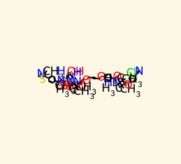 Cc1ncsc1-c1ccc([C@H](C)NC(=O)[C@@H]2C[C@@H](O)CN2C(=O)[C@@H](NC(=O)COCC#CCOc2ccc(C(=O)N[C@H]3C(C)(C)[C@H](Oc4ccc(C#N)c(Cl)c4)C3(C)C)cc2)C(C)(C)C)cc1